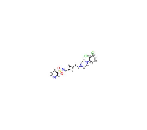 O=S(=O)(/N=C/C1CC(CCN2CCN(c3cccc(Cl)c3Cl)CC2)C1)c1cccnc1